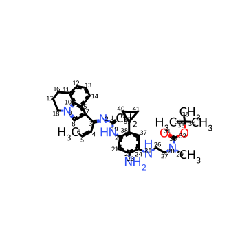 C=C(/N=C(\C=C/C)c1cn2c3c(cccc13)CCC2)Nc1cc(N)c(NCCN(C)C(=O)OC(C)(C)C)cc1C1CC1